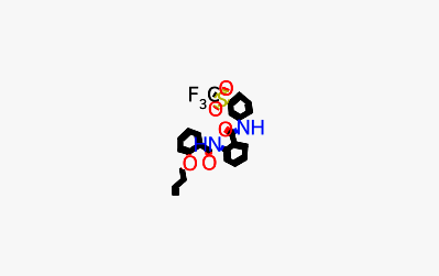 C=CCCOc1ccccc1C(=O)Nc1ccccc1C(=O)Nc1cccc(S(=O)(=O)C(F)(F)F)c1